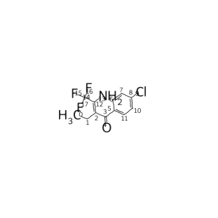 CCC(C(=O)c1ccc(Cl)cc1)=C(N)C(F)(F)F